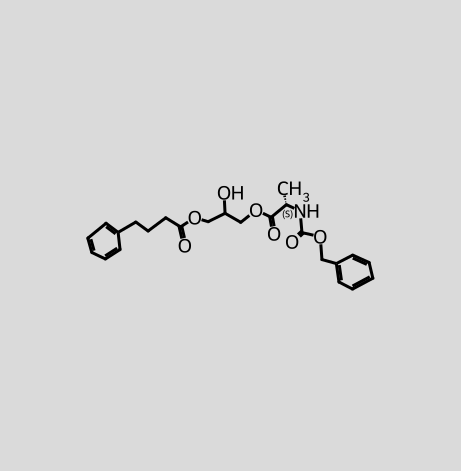 C[C@H](NC(=O)OCc1ccccc1)C(=O)OCC(O)COC(=O)CCCc1ccccc1